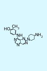 Cc1cc(Nc2ncnc3cnc(N4CCC(N)CC4)nc23)ccc1O